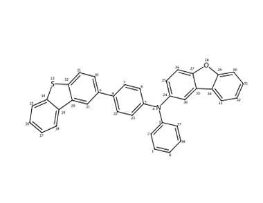 c1ccc(N(c2ccc(-c3ccc4sc5ccccc5c4c3)cc2)c2ccc3oc4ccccc4c3c2)cc1